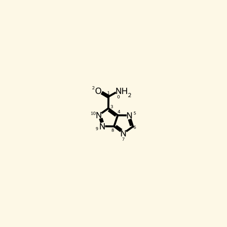 NC(=O)C1=C2N=CN=C2N=N1